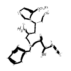 CCOC(=O)C1=CSCN1[C@H](CO)CC(C)CN(Cc1ccccc1)C(=O)C(N=[N+]=[N-])C(C)CC